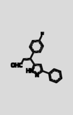 O=CC=C(c1ccc(F)cc1)c1cc(-c2ccccc2)n[nH]1